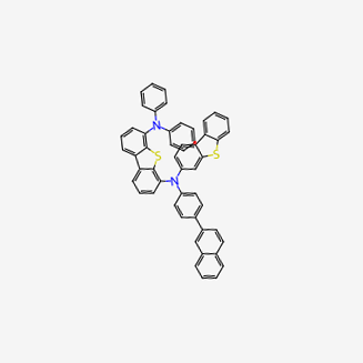 c1ccc(N(c2ccccc2)c2cccc3c2sc2c(N(c4ccc(-c5ccc6ccccc6c5)cc4)c4ccc5c(c4)sc4ccccc45)cccc23)cc1